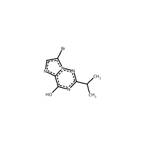 CC(C)c1nc(O)c2ncc(Br)n2n1